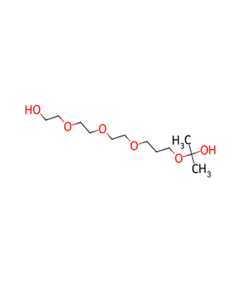 CC(C)(O)OCCCOCCOCCOCCO